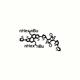 CCCCCCC(CCCC)Cc1cc2cc(-c3ccc(C4=C5C(=O)N(C)C(c6ccc(-c7cccs7)s6)=C5C(=O)N4C)s3)sc2c2c(CC(CCCC)CCCCCC)cc3cc(-c4cccs4)sc3c12